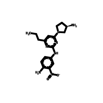 CCCc1cc(N2CC[C@H](N)C2)nc(Nc2ccc(N)c([N+](=O)[O-])c2)n1